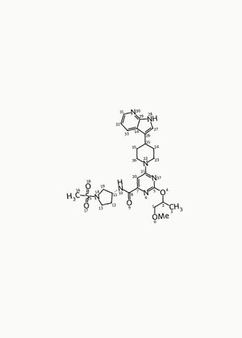 COCC(C)Oc1nc(C(=O)N[C@@H]2CCN(S(C)(=O)=O)C2)cc(N2CCC(c3c[nH]c4ncccc34)CC2)n1